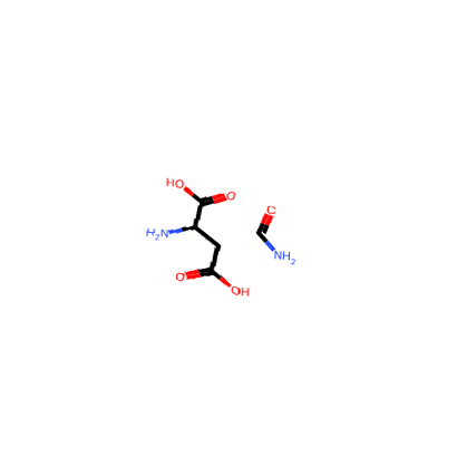 NC(CC(=O)O)C(=O)O.NC=O